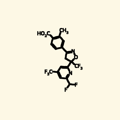 Cc1cc(C2=NOC(c3cc(C(F)(F)F)cc(C(F)F)n3)(C(F)(F)F)C2)ccc1C(=O)O